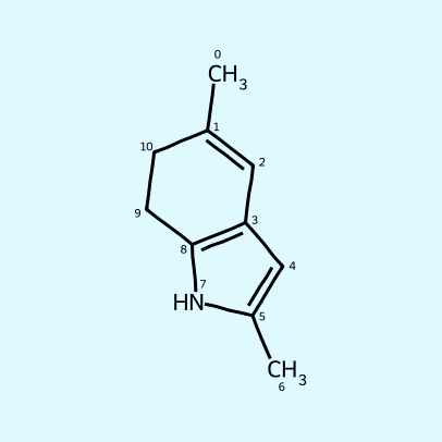 CC1=Cc2cc(C)[nH]c2CC1